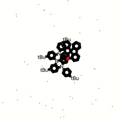 CC(C)(C)c1ccc(N2c3ccc(C(C)(C)C)cc3B3c4cc(C(C)(C)C)ccc4N(c4ccc(C(C)(C)C)cc4)c4cc(-c5cccc6c5C5(c7ccccc7-c7ccccc75)c5ccccc5-6)cc2c43)cc1